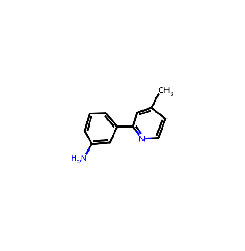 Cc1ccnc(-c2cccc(N)c2)c1